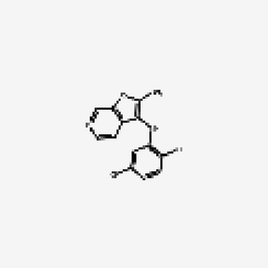 Nc1oc2cnccc2c1Nc1cc(Cl)ccc1Cl